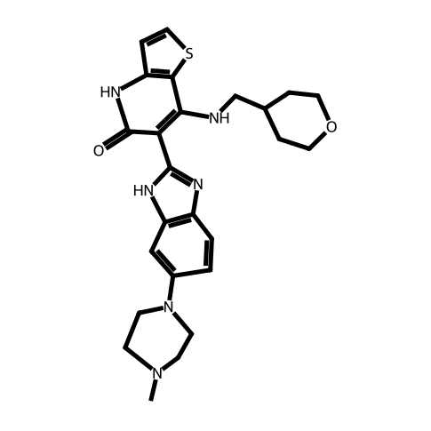 CN1CCN(c2ccc3nc(-c4c(NCC5CCOCC5)c5sccc5[nH]c4=O)[nH]c3c2)CC1